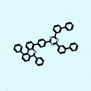 c1ccc(-c2cccc(-c3nc(-c4ccc(-c5cccc6c5nc(-c5ccccc5)c5cccc(-c7ccccc7)c56)cc4)nc(-c4cccc(-c5ccccc5)c4)n3)c2)cc1